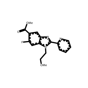 COCCn1c(-c2ccccn2)nc2cc(C(=O)OC)c(F)cc21